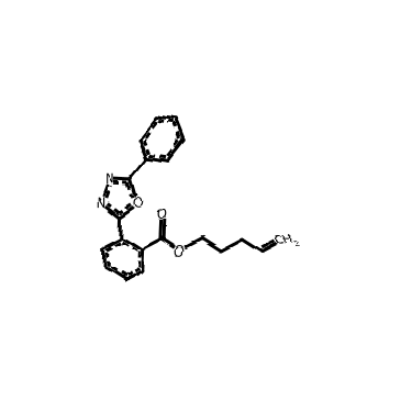 C=CCCCOC(=O)c1ccccc1-c1nnc(-c2ccccc2)o1